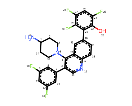 NC1CCN(c2c(-c3cc(F)cc(F)c3)cnc3ccc(-c4c(O)c(F)cc(F)c4F)cc23)CC1